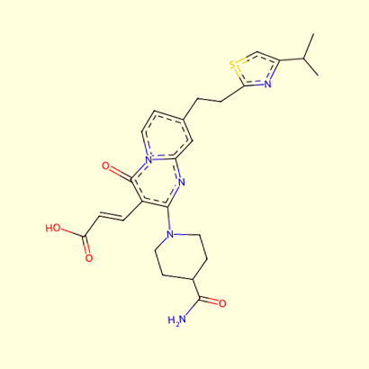 CC(C)c1csc(CCc2ccn3c(=O)c(C=CC(=O)O)c(N4CCC(C(N)=O)CC4)nc3c2)n1